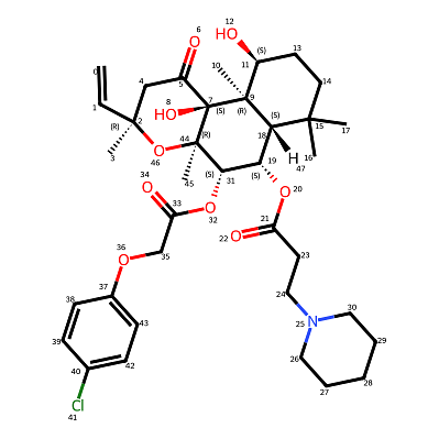 C=C[C@@]1(C)CC(=O)[C@]2(O)[C@@]3(C)[C@@H](O)CCC(C)(C)[C@@H]3[C@H](OC(=O)CCN3CCCCC3)[C@H](OC(=O)COc3ccc(Cl)cc3)[C@@]2(C)O1